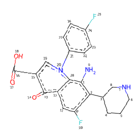 Nc1c(C2CCCNC2)c(F)cc2c(=O)c(C(=O)O)cn(-c3ccc(F)cc3)c12